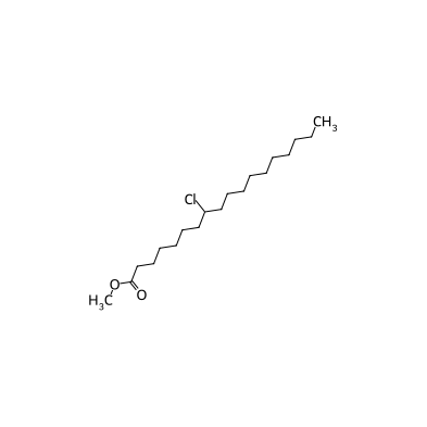 CCCCCCCCCCC(Cl)CCCCCCC(=O)OC